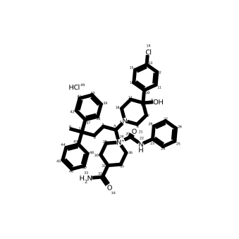 CC(CCC(N1CCC(O)(c2ccc(Cl)cc2)CC1)[N+]1(C(=O)Nc2ccccc2)CCC(C(N)=O)CC1)(c1ccccc1)c1ccccc1.Cl